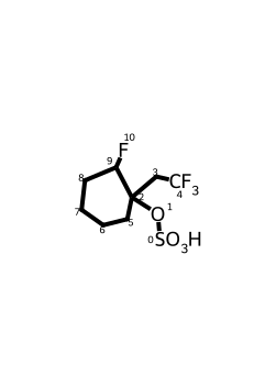 O=S(=O)(O)OC1(CC(F)(F)F)CCCCC1F